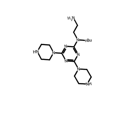 CCCCN(CCN)c1nc(N2CCNCC2)nc(N2CCNCC2)n1